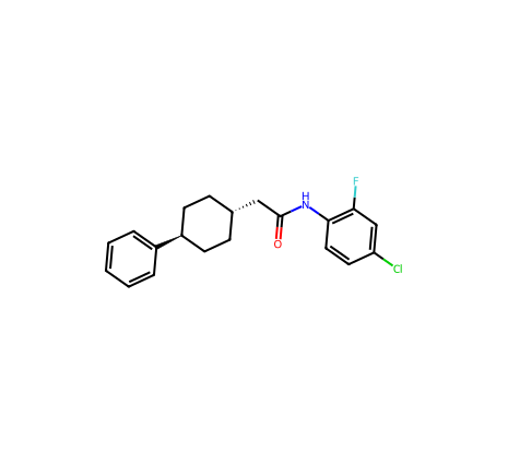 O=C(C[C@H]1CC[C@H](c2ccccc2)CC1)Nc1ccc(Cl)cc1F